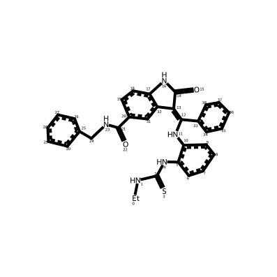 CCNC(=S)Nc1ccccc1NC(=C1C(=O)Nc2ccc(C(=O)NCc3ccccc3)cc21)c1ccccc1